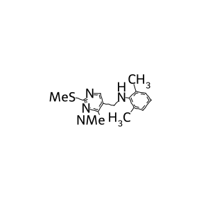 CNc1nc(SC)ncc1CNc1c(C)cccc1C